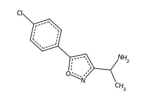 CC(N)c1cc(-c2ccc(Cl)cc2)on1